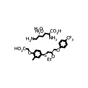 CCO[C@H](COc1ccc(C(F)(F)F)cc1)CSc1ccc(OCC(=O)O)c(C)c1.NCCCC[C@H](N)C(=O)O.O.O